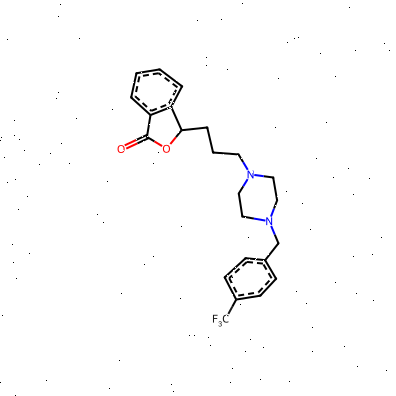 O=C1OC(CCCN2CCN(Cc3ccc(C(F)(F)F)cc3)CC2)c2ccccc21